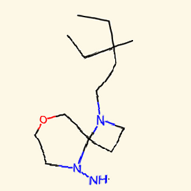 CCC(C)(CC)CCN1CCC12COCCN2[NH]